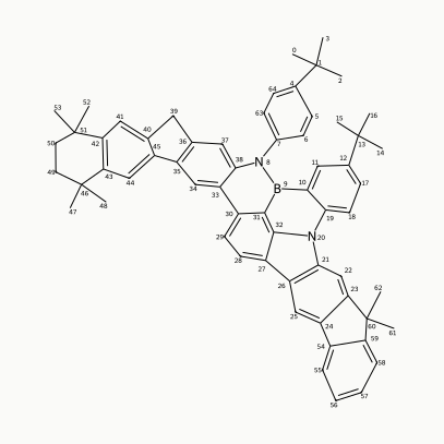 CC(C)(C)c1ccc(N2B3c4cc(C(C)(C)C)ccc4-n4c5cc6c(cc5c5ccc(c3c54)-c3cc4c(cc32)Cc2cc3c(cc2-4)C(C)(C)CCC3(C)C)-c2ccccc2C6(C)C)cc1